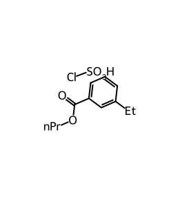 CCCOC(=O)c1cccc(CC)c1.O=S(=O)(O)Cl